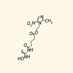 Cc1ncc([N+](=O)[O-])n1CCOC(=O)CCCC(=O)NC(=S)NO